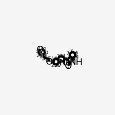 O=C1Nc2ccccc2C1=C1C=Cc2cc(OCCN3CCOCC3)ccc2N1